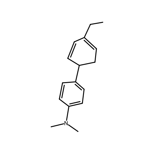 CCC1=CCC(c2ccc(N(C)C)cc2)C=C1